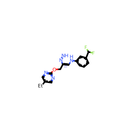 CCc1cnc(OC/C(=C/Nc2cccc(C(F)F)c2)N=N)nc1